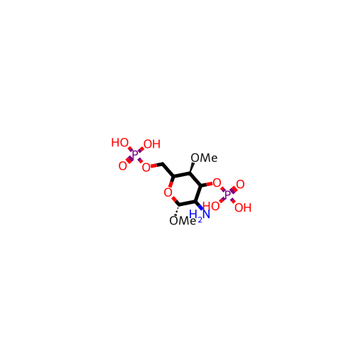 CO[C@@H]1OC(COP(=O)(O)O)[C@@H](OC)C(OP(=O)(O)O)C1N